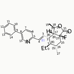 CC[C@H]1[C@H](/C=C/c2ccc(-c3ccccc3)cn2)[C@@H]2[C@@H](C)OC(=O)[C@]2(F)C[C@@H]1C